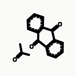 CC(C)=O.O=C1c2ccccc2C(=O)c2ccccc21